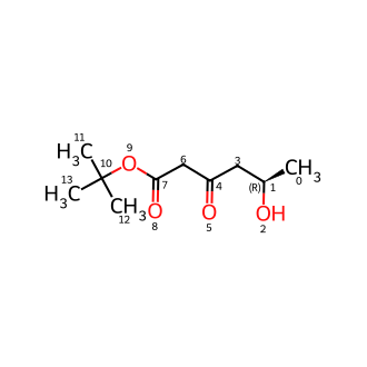 C[C@@H](O)CC(=O)CC(=O)OC(C)(C)C